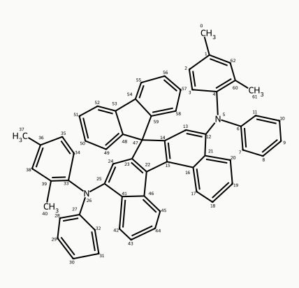 Cc1ccc(N(c2ccccc2)c2cc3c(c4ccccc24)-c2c(cc(N(c4ccccc4)c4ccc(C)cc4C)c4ccccc24)C32c3ccccc3-c3ccccc32)c(C)c1